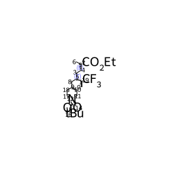 C=C(/C(=C\C=C(/C)C(=O)OCC)CC1=CCN(C(=O)OC(C)(C)C)CC1)C(F)(F)F